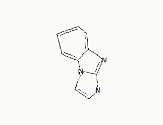 C1=Cn2c(nc3ccccc32)[N]1